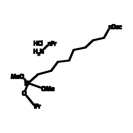 CCCCCCCCCCCCCCCCCC[Si](OC)(OC)OC(C)C.CCCN.Cl